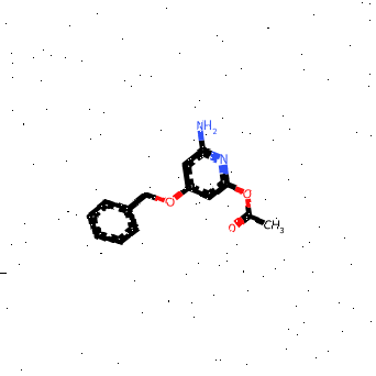 CC(=O)Oc1cc(OCc2ccccc2)cc(N)n1